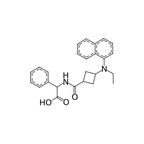 CCN(c1cccc2ccccc12)C1CC(C(=O)NC(C(=O)O)c2ccccc2)C1